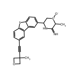 CC1C(=N)NC(c2ccc3sc4ccc(C#CC5(C)COC5)cc4c3c2)C[S+]1[O-]